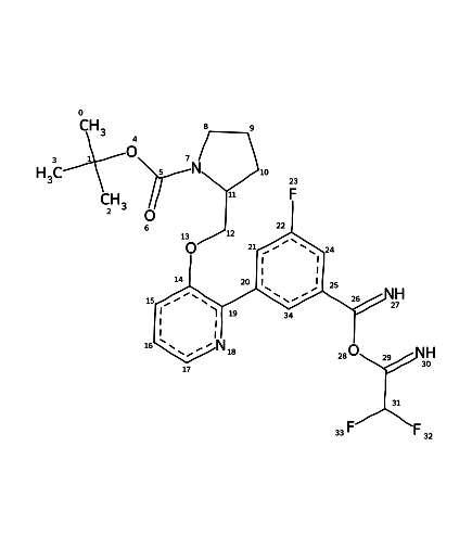 CC(C)(C)OC(=O)N1CCCC1COc1cccnc1-c1cc(F)cc(C(=N)OC(=N)C(F)F)c1